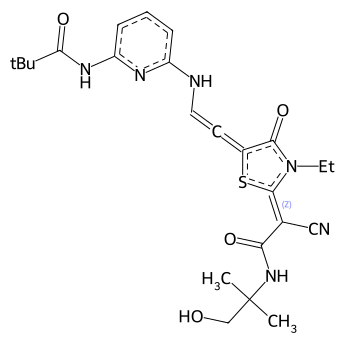 CCn1c(=O)c(=C=CNc2cccc(NC(=O)C(C)(C)C)n2)s/c1=C(/C#N)C(=O)NC(C)(C)CO